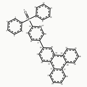 O=P(c1ccccc1)(c1ccccc1)c1ccc(-c2ccc3c4ccccc4c4ccccc4c3c2)cn1